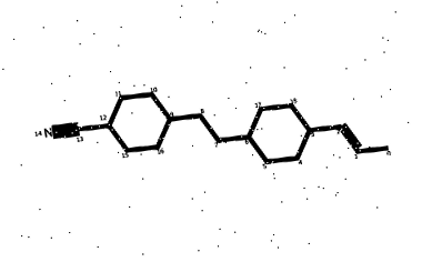 C/C=C/C1CCC(CCC2CCC(C#N)CC2)CC1